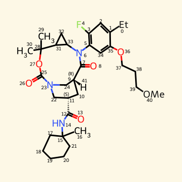 CCc1cc(F)c(N2C(=O)[C@@H]3C[C@H](C(=O)NC4(C)CCCCC4)CN(C3)C(=O)OC(C)(C)C3CC32)cc1OCCCOC